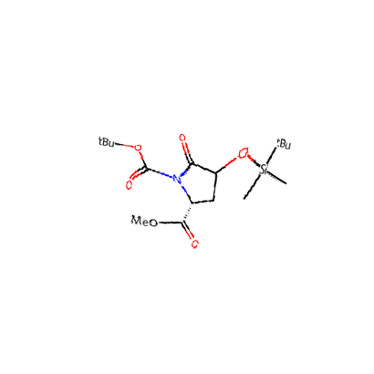 COC(=O)[C@H]1CC(O[Si](C)(C)C(C)(C)C)C(=O)N1C(=O)OC(C)(C)C